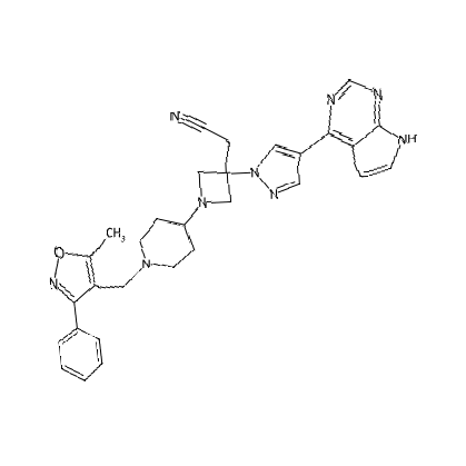 Cc1onc(-c2ccccc2)c1CN1CCC(N2CC(CC#N)(n3cc(-c4ncnc5[nH]ccc45)cn3)C2)CC1